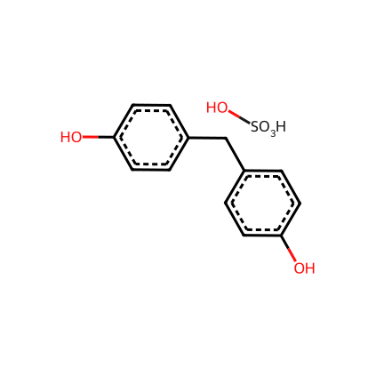 O=S(=O)(O)O.Oc1ccc(Cc2ccc(O)cc2)cc1